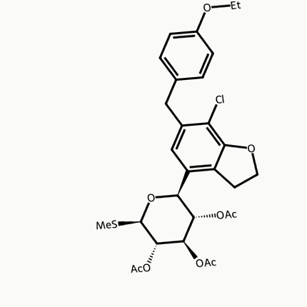 CCOc1ccc(Cc2cc([C@@H]3O[C@H](SC)[C@@H](OC(C)=O)[C@H](OC(C)=O)[C@H]3OC(C)=O)c3c(c2Cl)OCC3)cc1